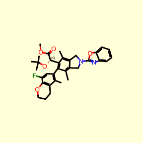 COC(=O)[C@@H](OC(C)(C)C)c1c(C)c2c(c(C)c1-c1cc(F)c3c(c1C)CCCO3)CN(c1nc3ccccc3o1)C2